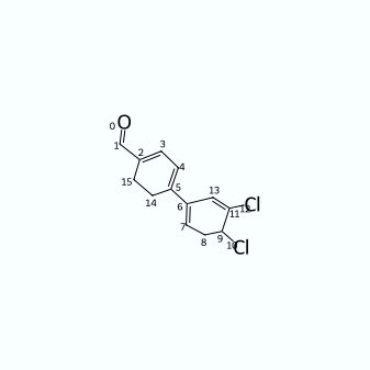 O=CC1=CC=C(C2=CCC(Cl)C(Cl)=C2)CC1